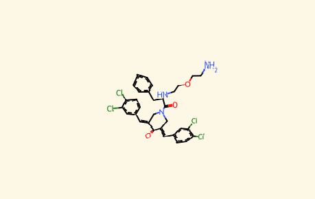 NCCOCCNC(Cc1ccccc1)C(=O)N1C/C(=C\c2ccc(Cl)c(Cl)c2)C(=O)/C(=C/c2ccc(Cl)c(Cl)c2)C1